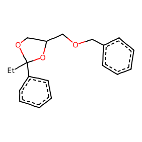 CCC1(c2ccccc2)OCC(COCc2ccccc2)O1